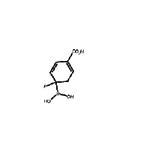 O=C(O)C1=CCC(F)(B(O)O)C=C1